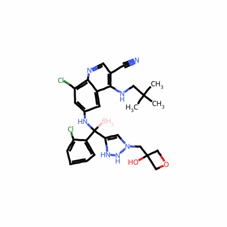 BC(Nc1cc(Cl)c2ncc(C#N)c(NCC(C)(C)C)c2c1)(C1=CN(CC2(O)COC2)NN1)c1ccccc1Cl